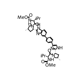 COC(=O)N[C@H](C(=O)N1C[C@@H](C)C[C@H]1c1nc(-c2ccc(-c3ccc4[nH]c([C@@H]5C[C@H](C)CN5C(=O)[C@@H](NC(=O)OC)C(C)C)nc4c3)cc2)c[nH]1)C(C)C